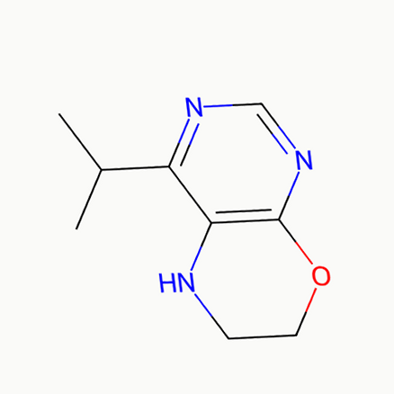 CC(C)c1ncnc2c1NCCO2